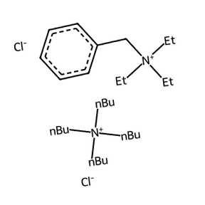 CCCC[N+](CCCC)(CCCC)CCCC.CC[N+](CC)(CC)Cc1ccccc1.[Cl-].[Cl-]